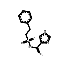 C=C(NS(=O)(=O)CCc1ccccc1)c1c[nH]cn1